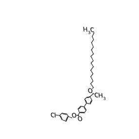 CCCCCCCCCCCCCCCCCCOC(C)c1ccc(-c2ccc(C(=O)OCc3ccc(Cl)cc3)cc2)cc1